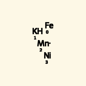 [Fe].[KH].[Mn].[Ni]